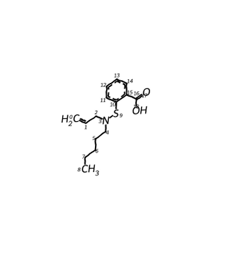 C=CCN(CCCCC)Sc1ccccc1C(=O)O